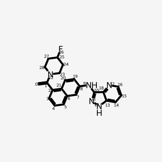 C=C(c1cccc2cc(Nc3n[nH]c4cccnc34)ccc12)N1CCC(F)CC1